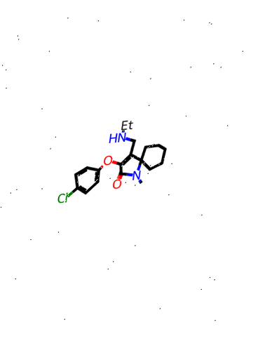 CCNCC1=C(Oc2ccc(Cl)cc2)C(=O)N(C)C12CCCCC2